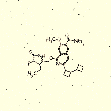 CCC1C(COc2nc(C3CCC3C3CCC3)cc3cc(C(N)=O)c(OC)cc23)NC(=O)C1F